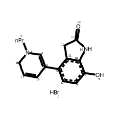 Br.CCCN1C=C(c2ccc(O)c3c2CC(=O)N3)C=CC1